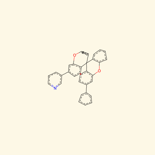 c1ccc(-c2ccc3c(c2)Oc2ccccc2C32c3ccccc3Oc3cc(-c4cccnc4)ccc32)cc1